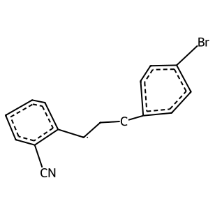 N#Cc1ccccc1[CH]CCc1ccc(Br)cc1